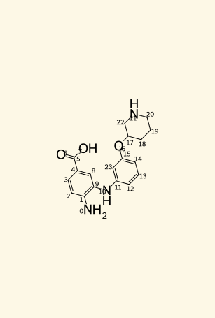 Nc1ccc(C(=O)O)cc1Nc1cccc(OC2CCCNC2)c1